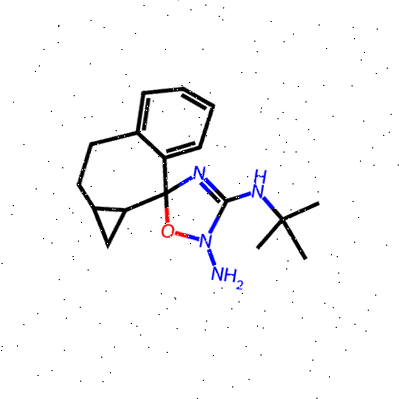 CC(C)(C)NC1=NC2(ON1N)c1ccccc1CCC1CC12